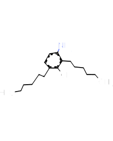 CCCCCCc1ccc(N)c(CCCCCC)c1C